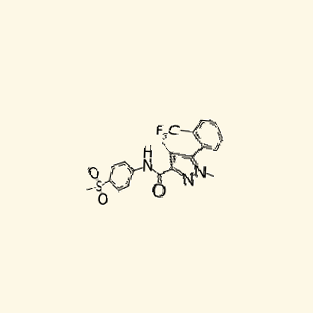 Cc1c(C(=O)Nc2ccc(S(C)(=O)=O)cc2)nn(C)c1-c1ccccc1C(F)(F)F